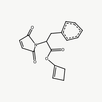 O=C(OC1=CCC1)C(Cc1ccccc1)N1C(=O)C=CC1=O